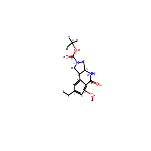 CCc1cc(OC)c2c(c1)C1CN(C(=O)OC(C)(C)C)CC1NC2=O